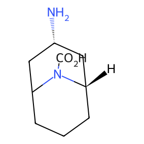 N[C@H]1CC2CCC[C@@H](C1)N2C(=O)O